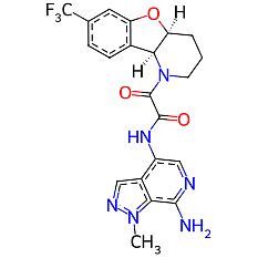 Cn1ncc2c(NC(=O)C(=O)N3CCC[C@@H]4Oc5cc(C(F)(F)F)ccc5[C@@H]43)cnc(N)c21